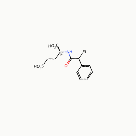 CCC(C(=O)N[C@@H](CCS(=O)(=O)O)C(=O)O)c1ccccc1